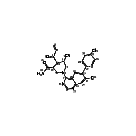 C=CC(=O)N1C(C#N)CN(c2ncnc3cc(Cl)c(-c4ccc(Cl)cc4)cc23)C[C@H]1C(N)=O